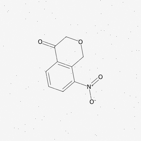 O=C1COCc2c1cccc2[N+](=O)[O-]